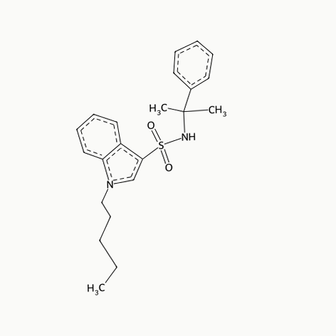 CCCCCn1cc(S(=O)(=O)NC(C)(C)c2ccccc2)c2ccccc21